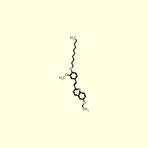 CCCCCCCCCCOc1ccc(C=Cc2ccc3cc(OCC)ccc3n2)cc1OC